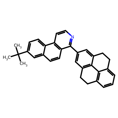 CC(C)(C)c1ccc2c(ccc3c(-c4cc5c6c(c4)CCc4cccc(c4-6)CC5)nccc32)c1